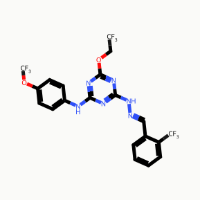 FC(F)(F)COc1nc(N/N=C/c2ccccc2C(F)(F)F)nc(Nc2ccc(OC(F)(F)F)cc2)n1